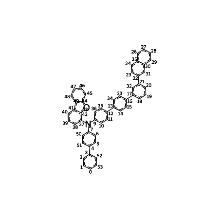 c1ccc(-c2ccc(N(c3ccc(-c4ccc(-c5cccc(-c6ccc7ccccc7c6)c5)cc4)cc3)c3cccc4c3oc3ccccc34)cc2)cc1